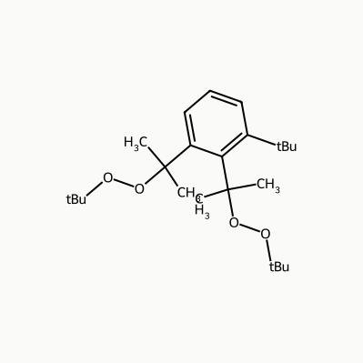 CC(C)(C)OOC(C)(C)c1cccc(C(C)(C)C)c1C(C)(C)OOC(C)(C)C